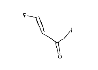 O=C(I)/C=C/F